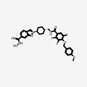 COc1ccc(COc2c(F)cc(C(=O)NC[C@H]3CC[C@H](n4cc5ccc(C(=N)NO)cc5n4)CC3)c(F)c2F)cc1